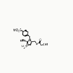 CCCCc1ncc(CSC(=O)CO)n1Cc1ccc(C(=O)O)cc1.O